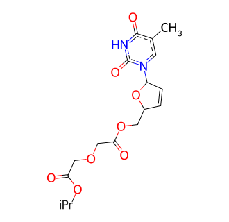 Cc1cn(C2C=CC(COC(=O)COCC(=O)OC(C)C)O2)c(=O)[nH]c1=O